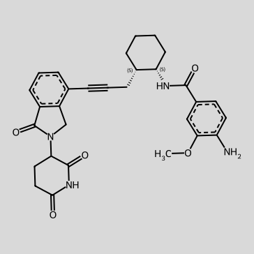 COc1cc(C(=O)N[C@H]2CCCC[C@H]2CC#Cc2cccc3c2CN(C2CCC(=O)NC2=O)C3=O)ccc1N